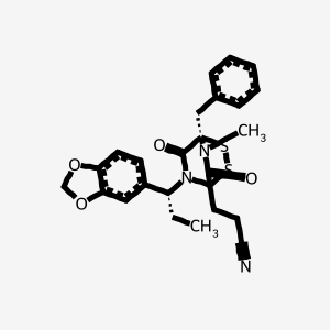 CC[C@H](c1ccc2c(c1)OCO2)N1C(=O)[C@@]2(Cc3ccccc3)SSC1(CCC#N)C(=O)N2C